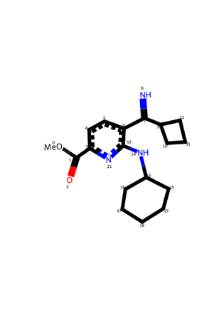 COC(=O)c1ccc(C(=N)C2CCC2)c(NC2CCCCC2)n1